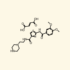 COc1ccc(C(=O)Nc2nc(C(=O)NCCN3CCNCC3)cs2)cc1OC.O=C(O)C=CC(=O)O